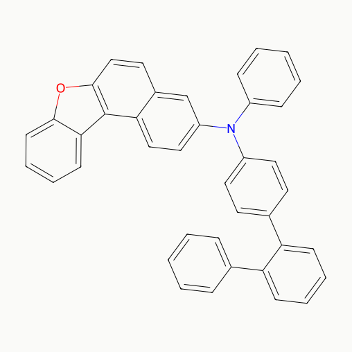 c1ccc(-c2ccccc2-c2ccc(N(c3ccccc3)c3ccc4c(ccc5oc6ccccc6c54)c3)cc2)cc1